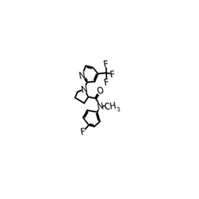 CN(C(=O)C1CCCN1c1cc(C(F)(F)F)ccn1)c1ccc(F)cc1